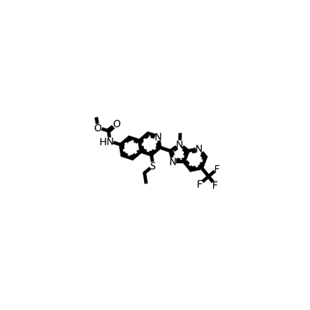 CCSc1c(-c2nc3cc(C(F)(F)F)cnc3n2C)ncc2cc(NC(=O)OC)ccc12